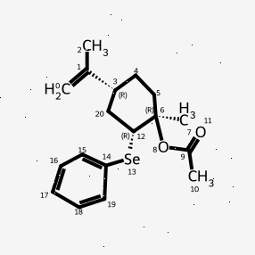 C=C(C)[C@@H]1CC[C@@](C)(OC(C)=O)[C@H]([Se]c2ccccc2)C1